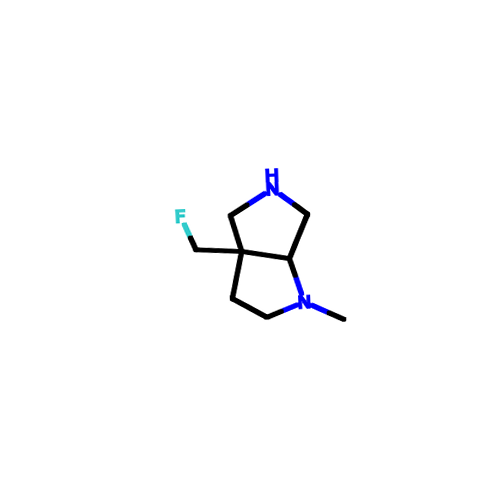 CN1CCC2(CF)CNCC12